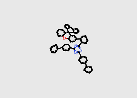 C1=C(c2ccccc2)CCC(c2nc(-c3ccc(-c4ccccc4)cc3)nc(-c3ccccc3-c3ccc4c(c3)C3(c5ccccc5O4)c4ccccc4-c4ccccc43)n2)=C1